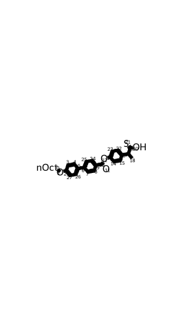 CCCCCCCCOc1ccc(-c2ccc(C(=O)Oc3ccc(C(C)C(O)=S)cc3)cc2)cc1